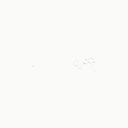 COc1cc(N2CCN(CCCCCCCCCCCCNC(=O)CC34CC5CC(CC(C5)C3)C4)CC2)ccc1Nc1ncc2c(C)cc(=O)n([C@H]3CCC[C@@H](C(=O)NC4CC4)C3)c2n1